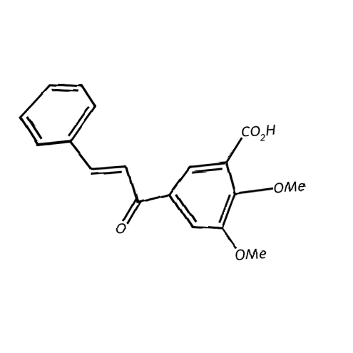 COc1cc(C(=O)C=Cc2ccccc2)cc(C(=O)O)c1OC